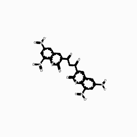 O=C(CC(=O)c1cc2cc([N+](=O)[O-])cc([N+](=O)[O-])c2sc1=O)c1cc2cc([N+](=O)[O-])cc([N+](=O)[O-])c2sc1=O